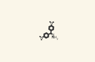 CN(C)c1ccc(C(=NN)c2ccc(N(C)C)cc2)cc1